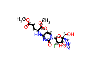 COC(=O)CC[C@H](Nc1ccn([C@@H]2O[C@@](CO)(N=[N+]=[N-])C(O)[C@@H]2F)c(=O)n1)C(=O)OC